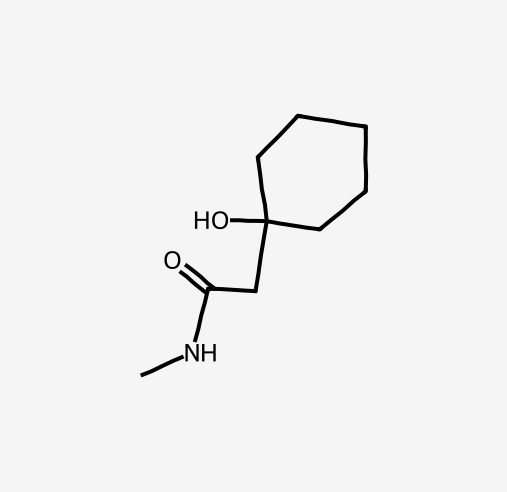 CNC(=O)CC1(O)CCCCC1